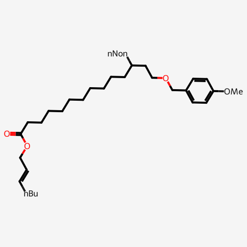 CCCCC=CCOC(=O)CCCCCCCCCCC(CCCCCCCCC)CCOCc1ccc(OC)cc1